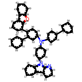 c1ccc(-c2ccc(N(c3ccc(-n4c5ccccc5c5cccnc54)cc3)c3ccc(-c4cccc5c4oc4ccccc45)c(-c4ccccc4)c3)cc2)cc1